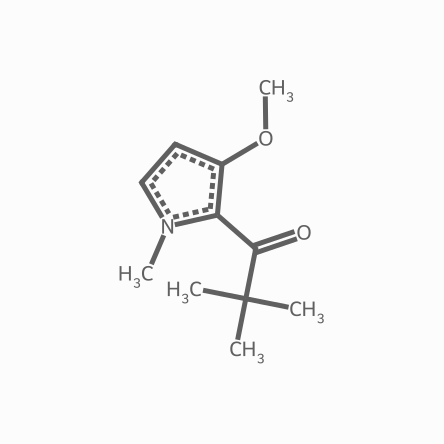 COc1ccn(C)c1C(=O)C(C)(C)C